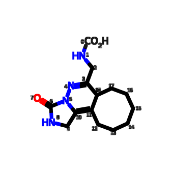 O=C(O)NCC1=NN2C(=O)NCC2=C2CCCCCCC12